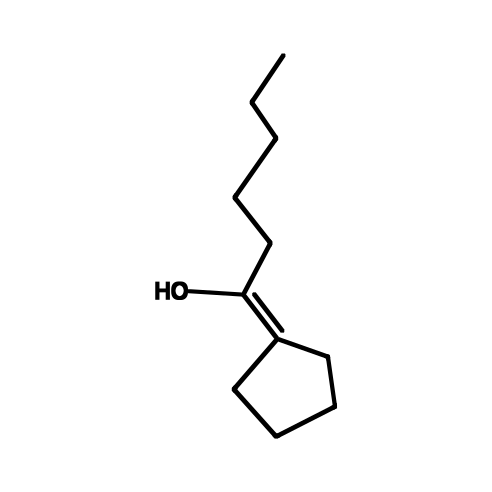 CCCCCC(O)=C1CCCC1